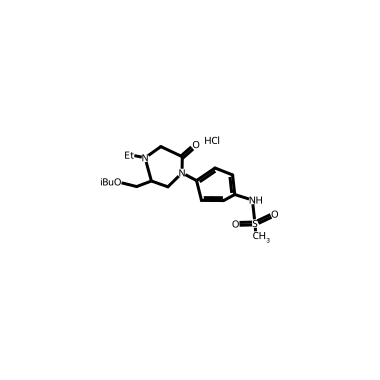 CCN1CC(=O)N(c2ccc(NS(C)(=O)=O)cc2)CC1COCC(C)C.Cl